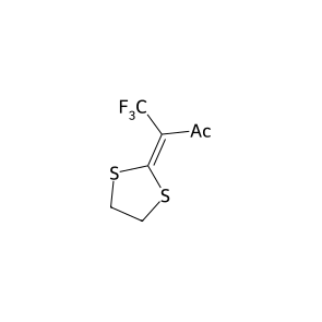 CC(=O)C(=C1SCCS1)C(F)(F)F